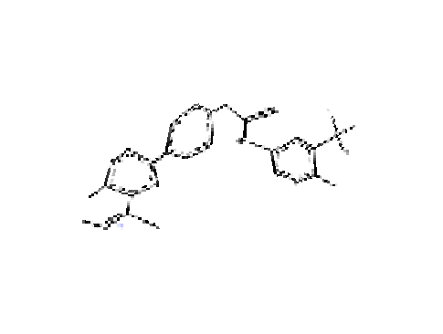 C=C(Cc1ccc(-c2cnc(C)c(/C(C)=C\C)n2)cc1)Nc1cnc(C)c(C(C)(F)F)c1